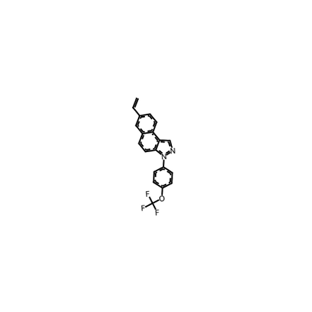 C=Cc1ccc2c(ccc3c2cnn3-c2ccc(OC(F)(F)F)cc2)c1